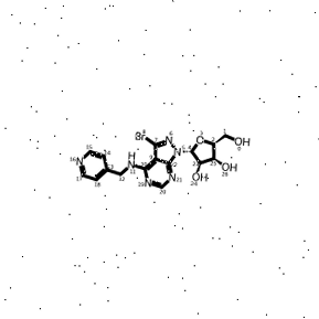 OC[C@@H]1O[C@@H](n2nc(Br)c3c(NCc4ccncc4)ncnc32)[C@H](O)[C@@H]1O